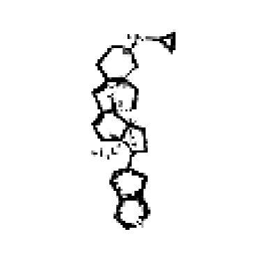 C[C@]12CC=C3C=C4CC[C@@H](NC5CC5)C[C@]45CC[C@]3(O5)[C@@H]1CCC2c1ccc2ccncc2c1